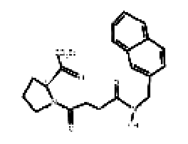 CCOC(=O)C(=O)[C@@H]1CCCN1C(=O)CCC(=O)N(C)Cc1ccc2ccccc2c1